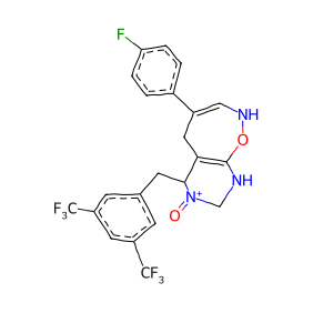 O=[N+]1CNC2=C(CC(c3ccc(F)cc3)=CNO2)C1Cc1cc(C(F)(F)F)cc(C(F)(F)F)c1